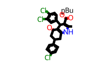 CCCCOC(=O)C1=C(C)NC2=C(C(=O)CC(c3ccc(Cl)cc3)C2)C1c1ccc(Cl)c(Cl)c1